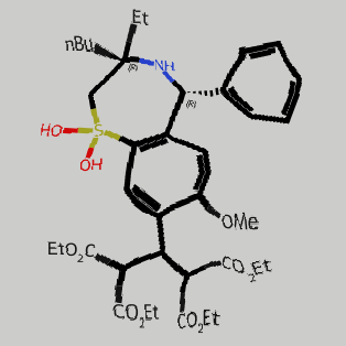 CCCC[C@]1(CC)CS(O)(O)c2cc(C(C(C(=O)OCC)C(=O)OCC)C(C(=O)OCC)C(=O)OCC)c(OC)cc2[C@@H](c2ccccc2)N1